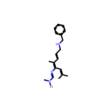 CCN(C)/C=N/C(C=C(C)C)=C(C)/C=C/CNCc1ccccc1